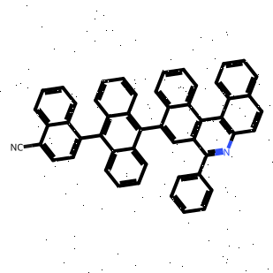 N#Cc1ccc(-c2c3ccccc3c(-c3cc4c(-c5ccccc5)nc5ccc6ccccc6c5c4c4ccccc34)c3ccccc23)c2ccccc12